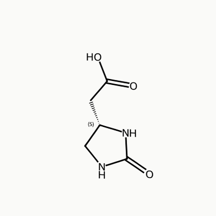 O=C(O)C[C@H]1CNC(=O)N1